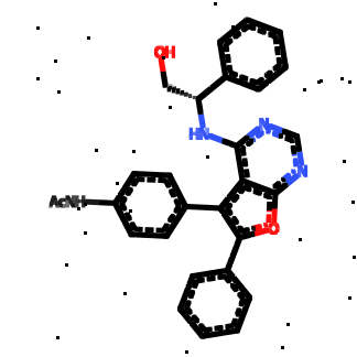 CC(=O)Nc1ccc(-c2c(-c3ccccc3)oc3ncnc(N[C@H](CO)c4ccccc4)c23)cc1